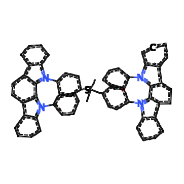 C[Si](C)(c1ccc(-n2c3ccccc3c3ccc4c5ccccc5n(-c5ccccc5)c4c32)cc1)c1ccc(-n2c3ccccc3c3ccc4c5ccccc5n(-c5ccccc5)c4c32)cc1